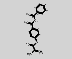 C=C(C)C(=O)Oc1ccc(C(=O)OC(=O)c2ccccc2)cc1